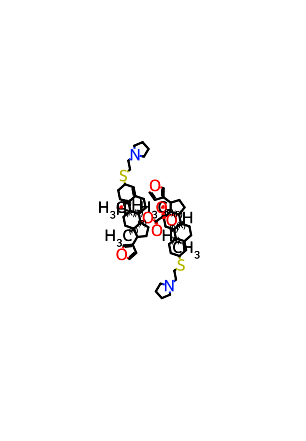 C[C@]12CCC(SCCN3CCCC3)C=C1CC[C@@H]1[C@H]2CC[C@]2(C)C(c3ccoc3)CC[C@@]12OC(=O)C(=O)O[C@@]12CCC(c3ccoc3)[C@@]1(C)CC[C@@H]1[C@H]2CCC2=CC(SCCN3CCCC3)CC[C@@]21C